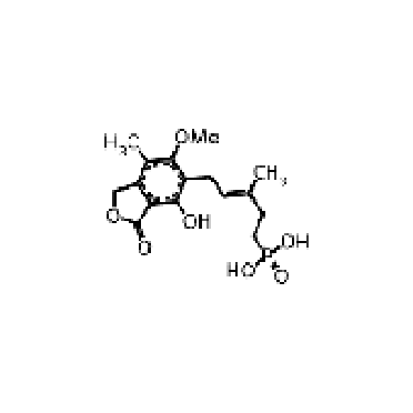 COc1c(C)c2c(c(O)c1C/C=C(\C)CCP(=O)(O)O)C(=O)OC2